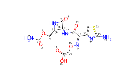 NC(=O)OC[C@H]1NC(=O)[C@H]1NC(=O)C(=NOCC(=O)O)c1csc(N)n1